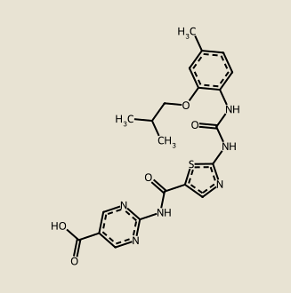 Cc1ccc(NC(=O)Nc2ncc(C(=O)Nc3ncc(C(=O)O)cn3)s2)c(OCC(C)C)c1